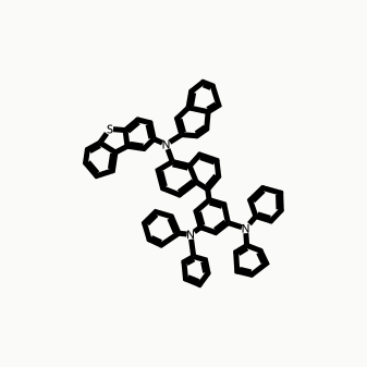 c1ccc(N(c2ccccc2)c2cc(-c3cccc4c(N(c5ccc6ccccc6c5)c5ccc6sc7ccccc7c6c5)cccc34)cc(N(c3ccccc3)c3ccccc3)c2)cc1